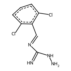 N=C(N=Cc1c(Cl)cccc1Cl)NN